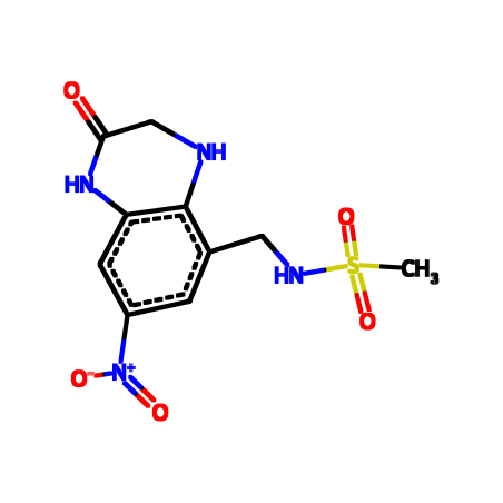 CS(=O)(=O)NCc1cc([N+](=O)[O-])cc2c1NCC(=O)N2